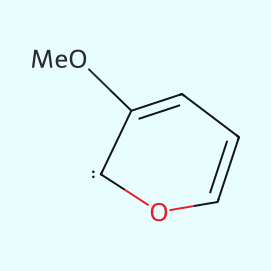 COC1=CC=CO[C]1